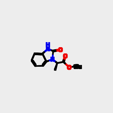 C[C@H](C(=O)OC(C)(C)C)n1c(=O)[nH]c2ccccc21